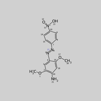 COc1cc(/N=N/c2ccc([N+](=O)O)cc2)c(OC)cc1N